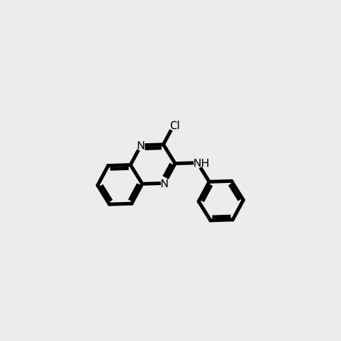 Clc1nc2ccccc2nc1Nc1ccccc1